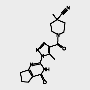 Cc1c(C(=O)N2CCC(C)(C#N)CC2)cnn1-c1nc2c(c(=O)[nH]1)CCC2